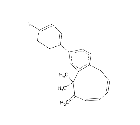 C=C1/C=C\C=C/Cc2ccc(C3=CC=C(I)CC3)cc2C1(C)C